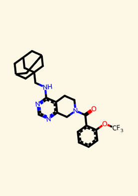 O=C(c1ccccc1OC(F)(F)F)N1CCc2c(ncnc2NCC23CC4CC(CC(C4)C2)C3)C1